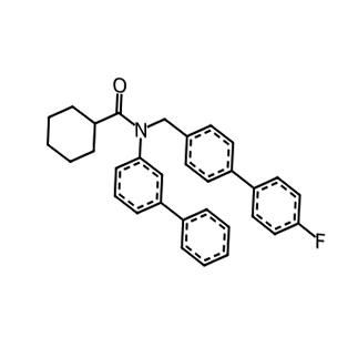 O=C(C1CCCCC1)N(Cc1ccc(-c2ccc(F)cc2)cc1)c1cccc(-c2ccccc2)c1